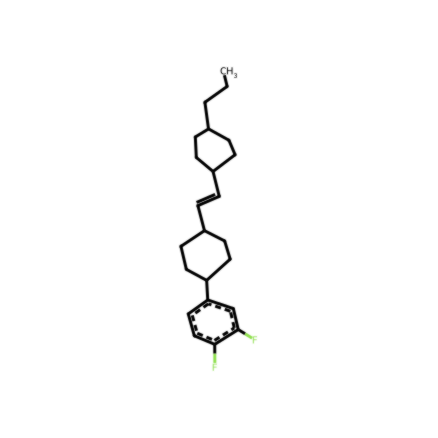 CCCC1CCC(/C=C/C2CCC(c3ccc(F)c(F)c3)CC2)CC1